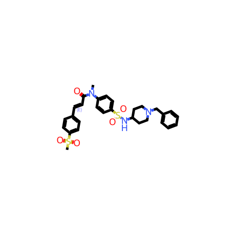 CN(C(=O)/C=C/c1ccc(S(C)(=O)=O)cc1)c1ccc(S(=O)(=O)NC2CCN(Cc3ccccc3)CC2)cc1